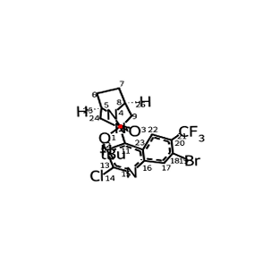 CC(C)(C)OC(=O)N1[C@@H]2CC[C@H]1CN(c1nc(Cl)nc3cc(Br)c(C(F)(F)F)cc13)C2